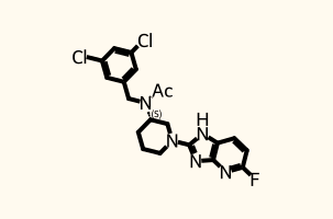 CC(=O)N(Cc1cc(Cl)cc(Cl)c1)[C@H]1CCCN(c2nc3nc(F)ccc3[nH]2)C1